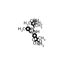 Cc1cccc(CN2c3cc4oc(=O)c(C(N)=O)c(C)c4cc3NC2NCC2=CC(C)(C)N(O)C2(C)C)c1